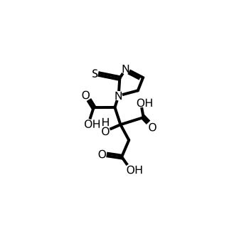 O=C(O)CC(O)(C(=O)O)C(C(=O)O)N1CC=NC1=S